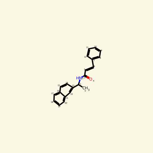 CC(NC(=O)C=Cc1ccccc1)c1ccc2ccccc2c1